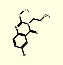 CCCn1c(SC)nc2ccc(Br)cc2c1=O